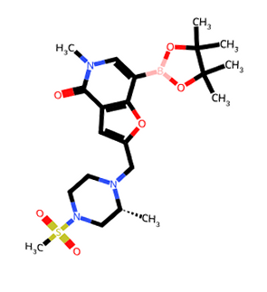 C[C@@H]1CN(S(C)(=O)=O)CCN1Cc1cc2c(=O)n(C)cc(B3OC(C)(C)C(C)(C)O3)c2o1